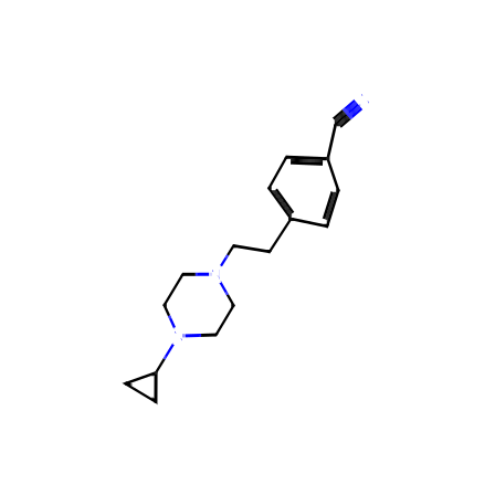 N#Cc1ccc(CCN2CCN(C3CC3)CC2)cc1